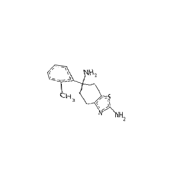 Cc1ccccc1C1(N)CCc2nc(N)sc2C1